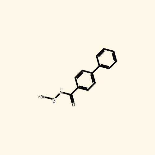 CCCCNNC(=O)c1ccc(-c2ccccc2)cc1